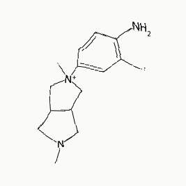 [CH]c1cc([N+]2(C)CC3CN(C)CC3C2)ccc1N